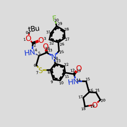 CC(C)(C)OC(=O)N[C@H]1CSc2ccc(C(=O)NCC3CCOCC3)cc2N(Cc2ccc(F)cc2)C1=O